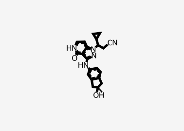 C[C@]1(O)Cc2ccc(Nc3nn(C(CC#N)C4CC4)c4cc[nH]c(=O)c34)cc2C1